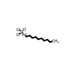 CCCCCCCCC[CH2][Au][Si](Cl)(Cl)Cl